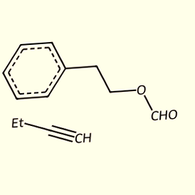 C#CCC.O=COCCc1ccccc1